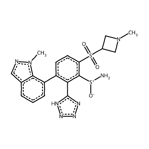 CN1CC(S(=O)(=O)c2ccc(-c3cccc4cnn(C)c34)c(-c3nnn[nH]3)c2[S+](N)[O-])C1